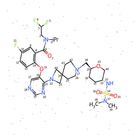 CC(C)N(CC(F)F)C(=O)c1cc(F)ccc1Oc1cncnc1N1CC2(CCN(C[C@@H]3CC[C@@H](NS(=O)(=O)N(C)C)CO3)CC2)C1